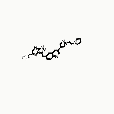 Cc1cnc2nnc(Cc3ccc4ncc(-c5cnn(CCN6CCCC6)c5)cc4c3)n2n1